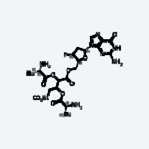 CCOC(=O)CC(OC(=O)[C@@H](N)[C@@H](C)CC)C(OC(=O)[C@@H](N)[C@@H](C)CC)C(=O)OC[C@H]1O[C@@H](n2cnc3c(=O)[nH]c(N)nc32)C[C@@H]1F